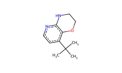 CC(C)(C)c1ccnc2c1OCCN2